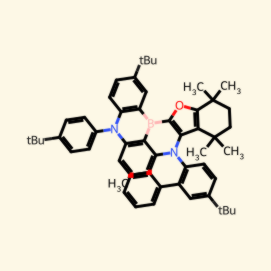 Cc1cc2c3c(c1)N(c1ccc(C(C)(C)C)cc1-c1ccccc1)c1c(oc4c1C(C)(C)CCC4(C)C)B3c1cc(C(C)(C)C)ccc1N2c1ccc(C(C)(C)C)cc1